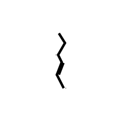 [CH2]/C=C/[CH]CC